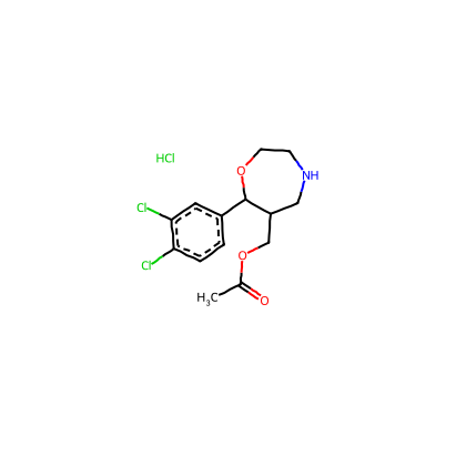 CC(=O)OCC1CNCCOC1c1ccc(Cl)c(Cl)c1.Cl